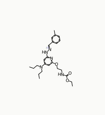 CCCN(CCC)c1cc(N/N=C/c2cccc(C)c2)nc(OCCNC(=O)OCC)c1